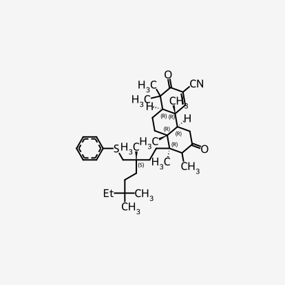 CCC(C)(C)CC[C@@](C)(CC[C@]1(C)C(C)C(=O)C[C@@H]2[C@@]3(C)C=C(C#N)C(=O)C(C)(C)[C@@H]3CC[C@]21C)CSc1ccccc1